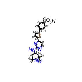 CC1(C)CC(Nc2nccc(-c3ccc(-c4ccc(C(=O)O)cc4)s3)n2)CC(C)(C)N1